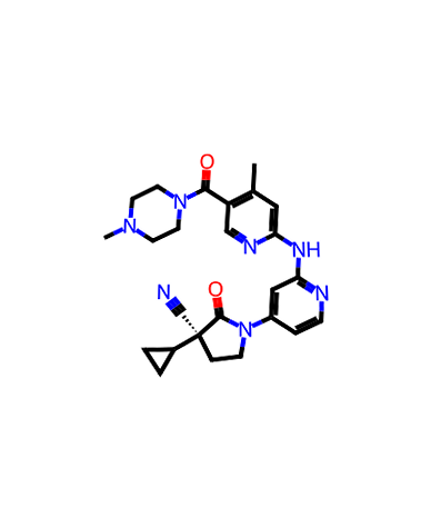 Cc1cc(Nc2cc(N3CC[C@@](C#N)(C4CC4)C3=O)ccn2)ncc1C(=O)N1CCN(C)CC1